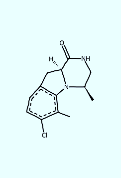 Cc1c(Cl)ccc2c1N1[C@H](C)CNC(=O)[C@@H]1C2